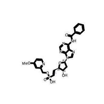 COc1ccnc(COP(=O)(O)/C=C/[C@H]2O[C@@H](n3cnc4c(NC(=O)c5ccccc5)ncnc43)C[C@@H]2O)c1